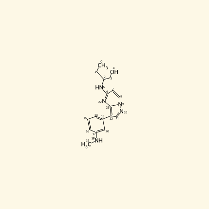 CCC(CO)Nc1ccn2ncc(-c3cccc(NC)c3)c2n1